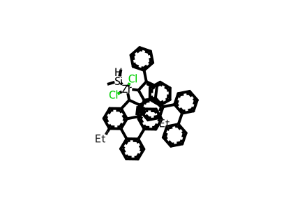 CCc1ccc2c(c1-c1ccccc1-c1ccccc1)C=C(c1ccccc1)[CH]2[Zr]([Cl])([Cl])([CH]1C(c2ccccc2)=Cc2c1ccc(CC)c2-c1ccccc1-c1ccccc1)[SiH](C)C